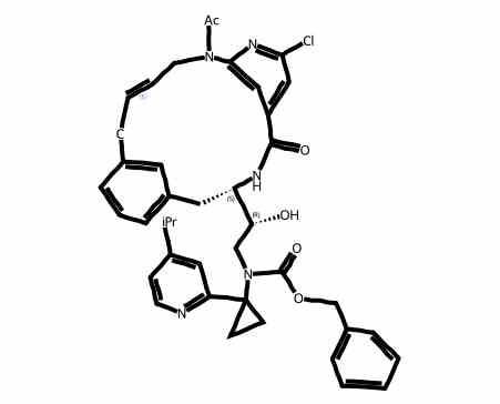 CC(=O)N1C/C=C/Cc2cccc(c2)C[C@@H]([C@H](O)CN(C(=O)OCc2ccccc2)C2(c3cc(C(C)C)ccn3)CC2)NC(=O)c2cc(Cl)nc1c2